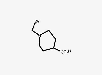 CCC(C)CN1CCC(C(=O)O)CC1